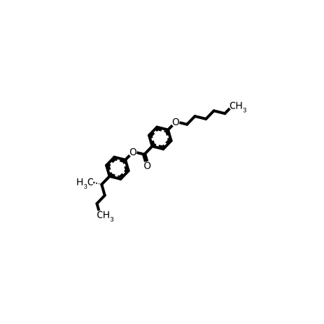 CCCCCCOc1ccc(C(=O)Oc2ccc([C@@H](C)CCC)cc2)cc1